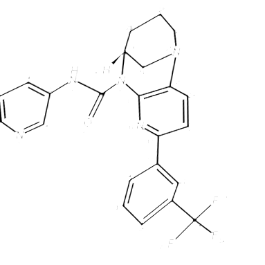 O=C(Nc1cccnc1)N1c2nc(-c3cccc(C(F)(F)F)c3)ccc2N2CCC[C@@H]1C2